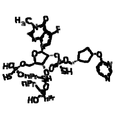 CCC[SiH](O[C@H]1[C@@H](OP(=O)(S)OC[C@@H]2CC[C@H](Oc3ccncn3)C2)[C@H](n2cc(F)c3c(=O)n(C)cnc32)O[C@@H]1COP(=O)(O)S)O[Si](O)(CCC)CCC